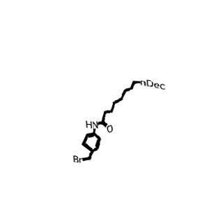 CCCCCCCCCCCCCCCCCC(=O)Nc1ccc(CBr)cc1